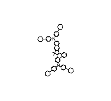 CC1(C)c2cc3cc(N(c4ccc(C5CCCCC5)cc4)c4ccc(C5CCCCC5)cc4)ccc3cc2-c2c1c1ccc(N(c3ccc(C4CCCCC4)cc3)c3ccc(C4CCCCC4)cc3)cc1c1ccccc21